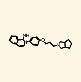 NC1c2ccccc2C=CN1c1ccc(OCCCN2CC3CCCC3C2)cc1